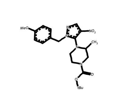 COc1ccc(Cn2ncc([N+](=O)[O-])c2N2CCN(C(=O)OC(C)(C)C)CC2C)cc1